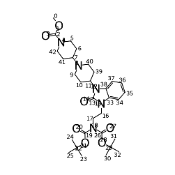 COC(=O)N1CCC(N2CCC(n3c(=O)n(CCN(C(=O)OC(C)(C)C)C(=O)OC(C)(C)C)c4ccccc43)CC2)CC1